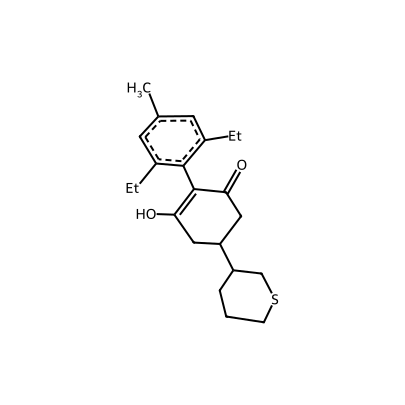 CCc1cc(C)cc(CC)c1C1=C(O)CC(C2CCCSC2)CC1=O